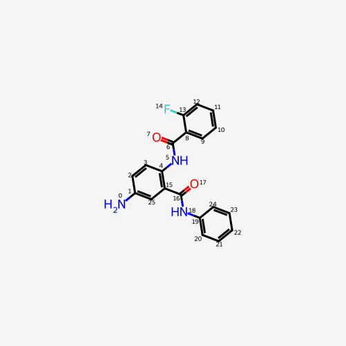 Nc1ccc(NC(=O)c2ccccc2F)c(C(=O)Nc2ccccc2)c1